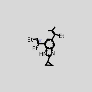 CC/C=C(\CC)c1cc(C(CC)=C(C)C)cc2nc(C3CC3)[nH]c12